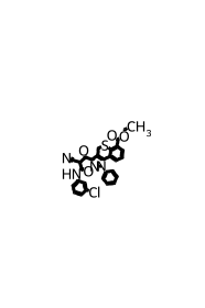 CCOC(=O)c1cccc2c1SCc1c(C(=O)C(C#N)C(=O)Nc3cccc(Cl)c3)nn(-c3ccccc3)c1-2